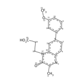 Cc1nc2ccc(-c3cccc(OC(F)(F)F)c3)cc2n(CCC(=O)O)c1=O